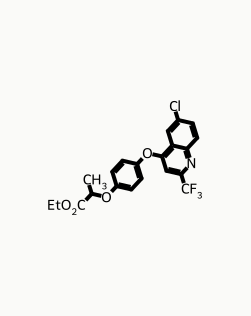 CCOC(=O)C(C)Oc1ccc(Oc2cc(C(F)(F)F)nc3ccc(Cl)cc23)cc1